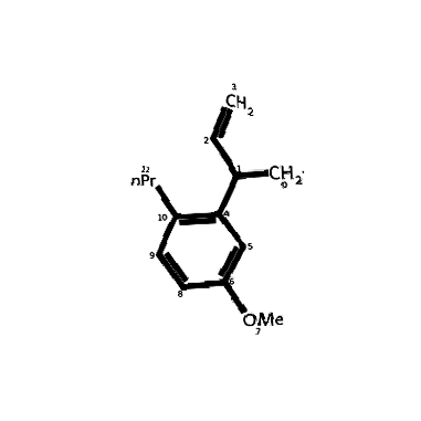 [CH2]C(C=C)c1cc(OC)ccc1CCC